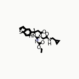 CCOC(=O)/N=C1/N[C@](C)(c2ccc3sccc3c2)CC(=O)N1CC(=O)NCC1CC1